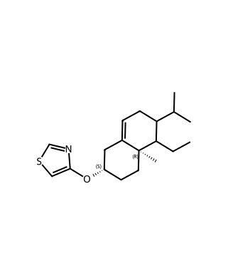 CCC1C(C(C)C)CC=C2C[C@@H](Oc3cscn3)CC[C@@]21C